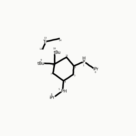 CC(C)PC1CC(PC(C)C)CC(C(C)(C)C)(C(C)(C)C)C1.[CH3][Ti][CH3]